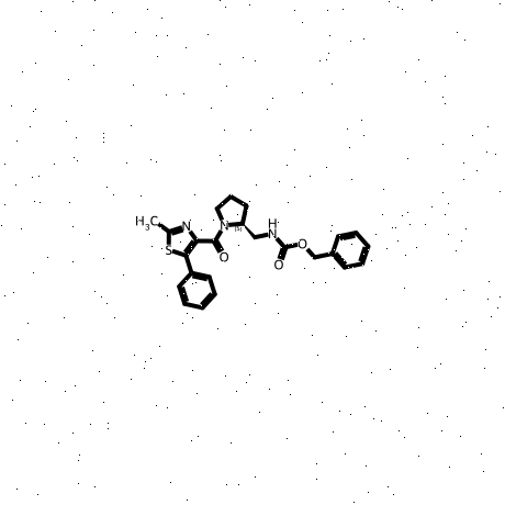 Cc1nc(C(=O)N2CCC[C@H]2CNC(=O)OCc2ccccc2)c(-c2ccccc2)s1